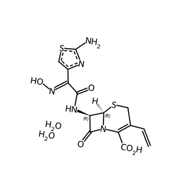 C=CC1=C(C(=O)O)N2C(=O)[C@@H](NC(=O)C(=NO)c3csc(N)n3)[C@H]2SC1.O.O